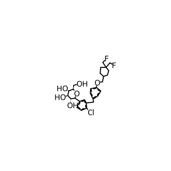 OC[C@H]1OC(c2ccc(Cl)c(Cc3ccc(OCC4CCC(CF)(CF)CC4)cc3)c2)[C@H](O)[C@@H](O)[C@@H]1O